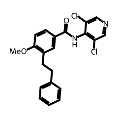 COc1ccc(C(=O)Nc2c(Cl)cncc2Cl)cc1CCc1ccccc1